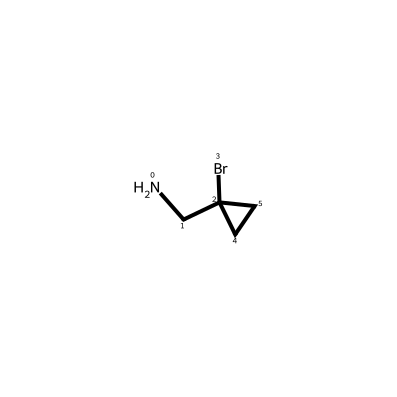 NCC1(Br)CC1